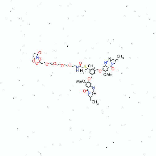 C/C=C1\C[C@H]2C=Nc3cc(OCc4cc(COc5cc6c(cc5OC)C(=O)N5C/C(=C/C)C[C@H]5C=N6)cc(C(C)(C)SCC(=O)NCCOCCOCCOCCOCCC(=O)ON5C(=O)CCC5=O)c4)c(OC)cc3C(=O)N2C1